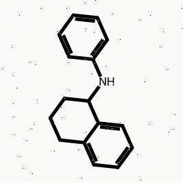 c1ccc(NC2CCCc3ccccc32)cc1